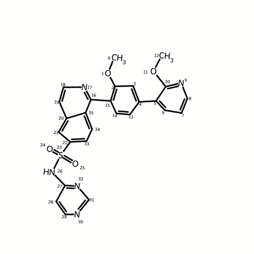 COc1cc(-c2cccnc2OC)ccc1-c1nccc2cc(S(=O)(=O)Nc3ccncn3)ccc12